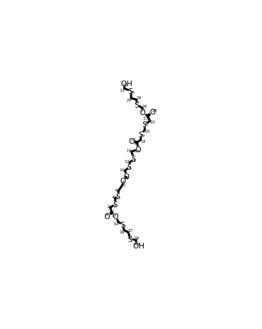 O=C(CSCSCCOOCSCSCOC(=O)CSCSCC(=O)OCSCCSCO)OCSCCSCO